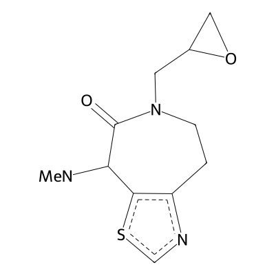 CNC1C(=O)N(CC2CO2)CCc2ncsc21